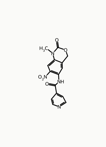 CN1C(=O)OCc2cc(NC(=O)c3ccncc3)c([N+](=O)[O-])cc21